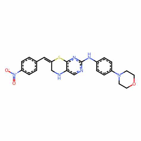 O=[N+]([O-])c1ccc(/C=C2\CNc3cnc(Nc4ccc(N5CCOCC5)cc4)nc3S2)cc1